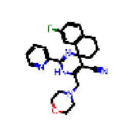 N#CC1=C(CN2CCOCC2)NC(c2ccccn2)=NC12CCCc1ccc(F)cc12